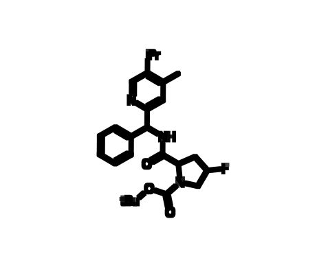 Cc1cc(C(NC(=O)C2CC(F)CN2C(=O)OC(C)(C)C)c2ccccc2)ncc1C(C)C